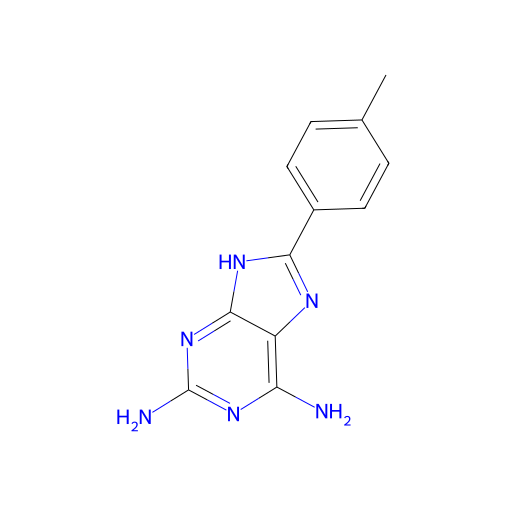 Cc1ccc(-c2nc3c(N)nc(N)nc3[nH]2)cc1